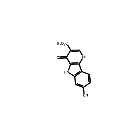 CCOC(=O)c1c[nH]c2c([nH]c3cc(C#N)ccc32)c1=O